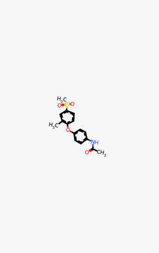 CC(=O)Nc1ccc(Oc2ccc(S(C)(=O)=O)cc2C)cc1